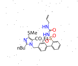 C=CCNC(=O)NS(=O)(=O)c1ccccc1-c1ccc(Cn2c(CCCC)nc(SC)c2C(=O)OCC)cc1